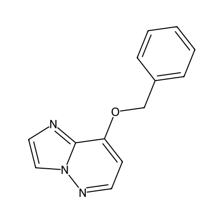 c1ccc(COc2ccnn3ccnc23)cc1